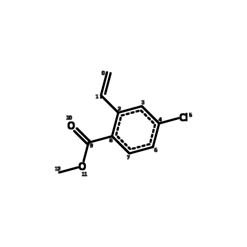 C=[C]c1cc(Cl)ccc1C(=O)OC